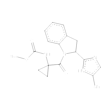 CCCc1cnc(C2Cc3ccccc3N2C(=O)C2(NC(=O)OC(C)(C)C)CC2)[nH]1